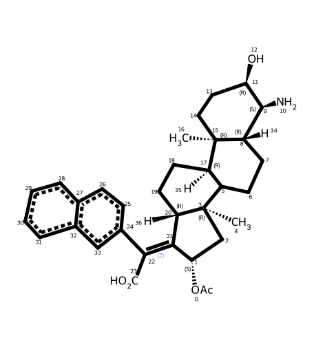 CC(=O)O[C@H]1C[C@]2(C)C3CC[C@H]4[C@H](N)[C@H](O)CC[C@]4(C)[C@@H]3CC[C@H]2/C1=C(/C(=O)O)c1ccc2ccccc2c1